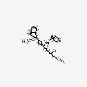 CCC(=O)CCCCC[C@H](NC(=O)[C@H]1CC12CCNCC2)c1ncc(-c2cc3ccncc3cc2OC)o1